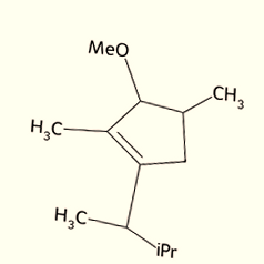 COC1C(C)=C(C(C)C(C)C)CC1C